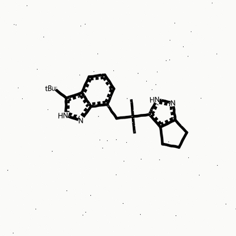 CC(C)(C)c1[nH]nc2c(CC(C)(C)c3[nH]nc4c3CCC4)cccc12